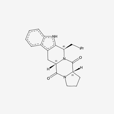 CC(C)C[C@@H]1c2[nH]c3ccccc3c2C[C@H]2C(=O)N3CCC[C@H]3C(=O)N12